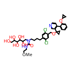 COCCNC(=O)N(CCCCc1cc(Cl)c(COC2(c3cnccc3-c3ccccc3OC3CC3)CC2)cc1Cl)CC(O)C(O)C(O)C(O)CO